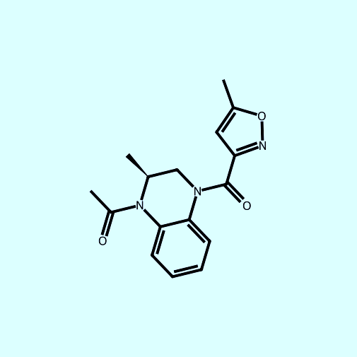 CC(=O)N1c2ccccc2N(C(=O)c2cc(C)on2)C[C@@H]1C